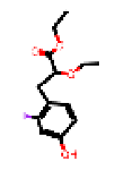 CCOC(=O)C(Cc1ccc(O)cc1I)OCC